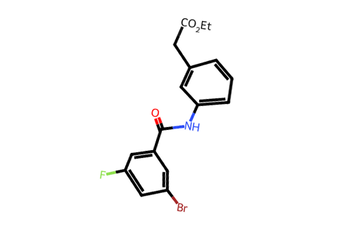 CCOC(=O)Cc1cccc(NC(=O)c2cc(F)cc(Br)c2)c1